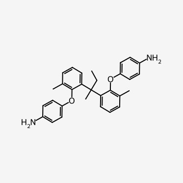 CCC(C)(c1cccc(C)c1Oc1ccc(N)cc1)c1cccc(C)c1Oc1ccc(N)cc1